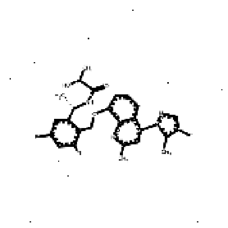 Cc1cc(-n2ncc(F)c2C)c2cccc(OCc3c(Cl)cc(F)cc3[C@H](C)NC(=O)C(C)O)c2n1